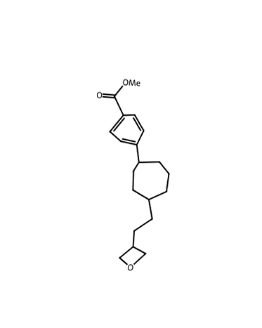 COC(=O)c1ccc(C2CCCC(CCC3COC3)CC2)cc1